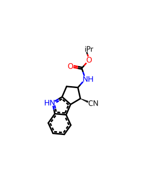 CC(C)OC(=O)NC1Cc2[nH]c3ccccc3c2[C@@H]1C#N